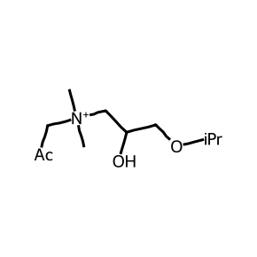 CC(=O)C[N+](C)(C)CC(O)COC(C)C